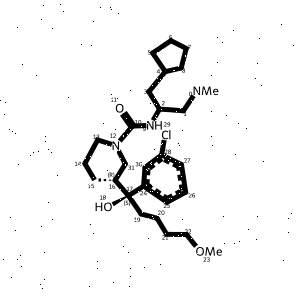 CNCC(CC1CCCC1)NC(=O)N1CCC[C@@H]([C@@](O)(CCCCOC)c2cccc(Cl)c2)C1